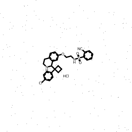 Cl.N#Cc1ccccc1S(=O)(=O)NCCOc1ccc2c(c1)C(C1(c3ccc(Cl)cc3)CCC1)NCC2